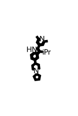 Cc1cc(-c2[nH]c3ccc(C4CCN(C5CCCC5)CC4)cc3c2C(C)C)cc(C)n1